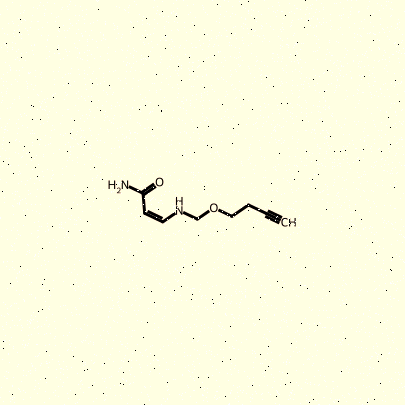 C#CCCOCN/C=C\C(N)=O